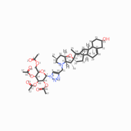 CC(=O)OCC1O[C@@H](n2cc(CN3C[C@@H](C)C[C@H]4O[C@]5(CC[C@@H]6C(=C5C)C[C@H]5[C@H]6CC=C6C[C@@H](O)CC[C@@]65C)[C@H](C)[C@@H]43)nn2)[C@@H](OC(C)=O)C(OC(C)=O)[C@H]1OC(C)=O